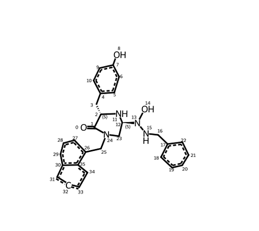 O=C1[C@H](Cc2ccc(O)cc2)N[C@@H](N(O)NCc2ccccc2)CN1Cc1cccc2ccccc12